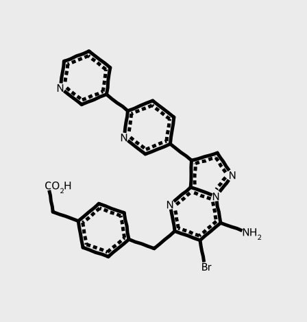 Nc1c(Br)c(Cc2ccc(CC(=O)O)cc2)nc2c(-c3ccc(-c4cccnc4)nc3)cnn12